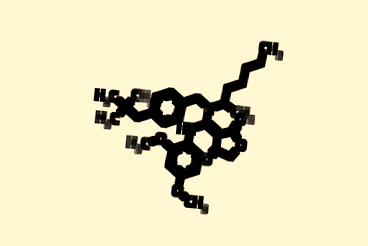 CCCCCC(C)N(Cc1ccc(CC(C)(C)C)cc1)C(Nc1ccc(OC)cc1OC)=C1C(=O)COC1=O